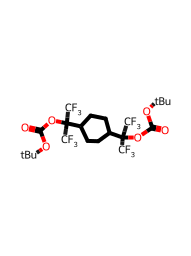 CC(C)(C)OC(=O)OC(C1CCC(C(OC(=O)OC(C)(C)C)(C(F)(F)F)C(F)(F)F)CC1)(C(F)(F)F)C(F)(F)F